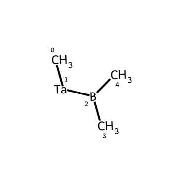 [CH3][Ta][B](C)C